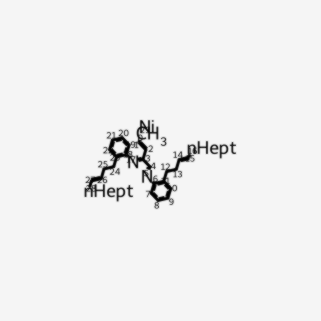 CC=CC(C=Nc1ccccc1CCC=CCCCCCCC)=Nc1ccccc1CCC=CCCCCCCC.[Ni]